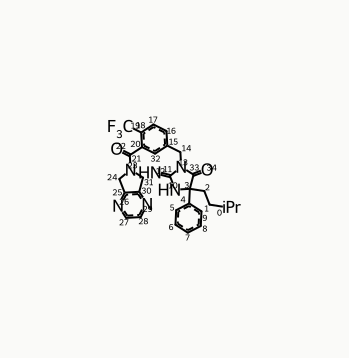 CC(C)CCC1(c2ccccc2)NC(=N)N(Cc2ccc(C(F)(F)F)c(C(=O)N3Cc4nccnc4C3)c2)C1=O